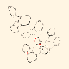 c1ccc2c(c1)-c1ccccc1C21c2ccccc2N(c2cccc3c(-c4ccc5c6ccccc6n6c7ccccc7c4c56)c4cccc(N5c6ccccc6C6(c7ccccc7-c7ccccc76)c6ccccc65)c4cc23)c2ccccc21